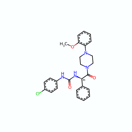 COc1ccccc1N1CCN(C(=O)[C@H](NC(=O)Nc2ccc(Cl)cc2)c2ccccc2)CC1